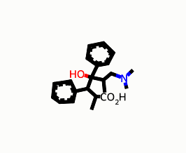 CC(C(=O)O)C(c1ccccc1)C(O)(c1ccccc1)C(C)CN(C)C